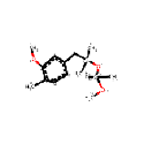 COc1cc(C[Si](C)(C)O[Si](C)(C)OC)ccc1C